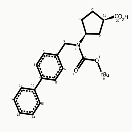 CC(C)(C)OC(=O)N(Cc1ccc(-c2ccccc2)cc1)[C@H]1CC[C@@H](C(=O)O)C1